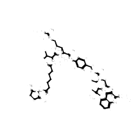 CCN(Cc1nc2c(N)nc3ccccc3c2n1CC(C)(C)O)C(=O)OCc1ccc(NC(=O)C(CCCNC(N)=O)NC(=O)C(NC(=O)CCCCCC(=O)ON2C(=O)CCC2=O)C(C)C)cc1